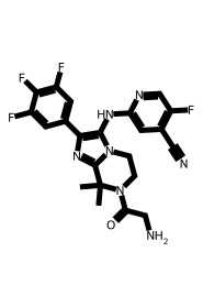 CC1(C)c2nc(-c3cc(F)c(F)c(F)c3)c(Nc3cc(C#N)c(F)cn3)n2CCN1C(=O)CN